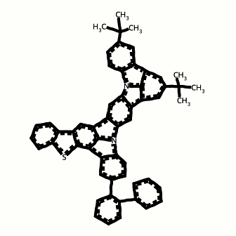 CC(C)(C)c1ccc2c(c1)c1cc(C(C)(C)C)cc3c4cc5c(cc4n2c13)c1cc2c3ccccc3sc2c2c3cc(-c4ccccc4-c4ccccc4)ccc3n5c12